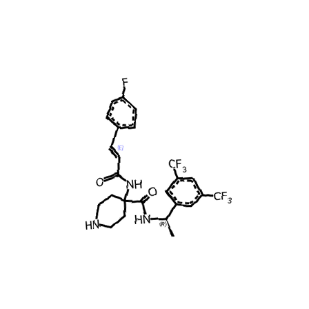 C[C@@H](NC(=O)C1(NC(=O)/C=C/c2ccc(F)cc2)CCNCC1)c1cc(C(F)(F)F)cc(C(F)(F)F)c1